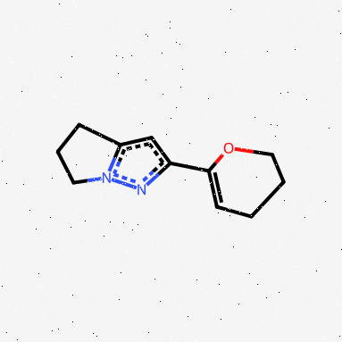 C1=C(c2cc3n(n2)CCC3)OCCC1